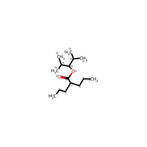 CCCC(CCC)C(=O)OC(C(C)C)C(C)C